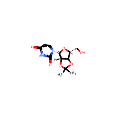 CC1(C)OC2[C@@H](CO)O[C@@H](n3ccc(=O)[nH]c3=O)[C@H]2O1